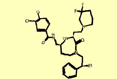 CC[C@H](CN1CC[C@@H](CNC(=O)c2ccc(Cl)c(Cl)c2)N[C@@H](CCN2CCCC(F)(F)C2)C1=O)c1ccccc1